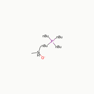 CCCC[P+](CCCC)(CCCC)CCCC.C[SiH](C)[O-]